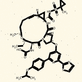 CC[C@@H]1O[C@H](C)CCC=C[C@@H]2C[C@@]2(C(=O)NS(=O)(=O)C2(C)CC2)NC(=O)[C@@H]2C[C@@H](Oc3cc(-c4ccc(OC(C)C)cc4)nc(-c4nccs4)c3)CN2C(=O)[C@H]1NC(=O)O